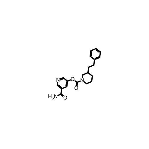 NC(=O)c1cncc(OC(=O)N2CCCC(CCc3ccccc3)C2)c1